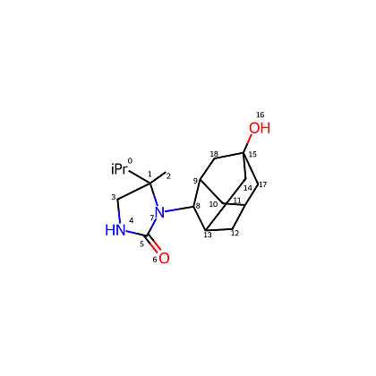 CC(C)C1(C)CNC(=O)N1C1C2CC3CC1CC(O)(C3)C2